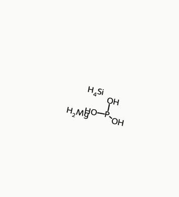 OP(O)O.[MgH2].[SiH4]